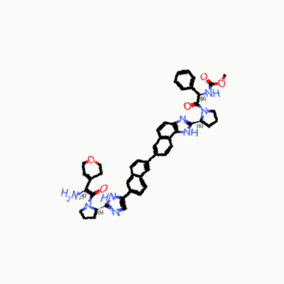 COC(=O)N[C@@H](C(=O)N1CCC[C@H]1c1nc2ccc3cc(-c4ccc5cc(-c6cnc([C@@H]7CCCN7C(=O)[C@@H](N)C7CCOCC7)[nH]6)ccc5c4)ccc3c2[nH]1)c1ccccc1